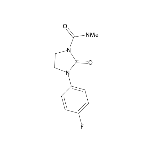 CNC(=O)N1CCN(c2ccc(F)cc2)C1=O